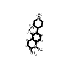 CCCOc1c(C2CCN(C(C)=O)CC2)ccc2c1CCC(C)N2C(C)=O